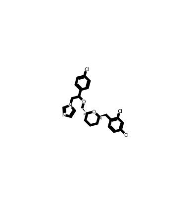 Clc1ccc(C(Cn2ccnc2)OC[C@H]2CCC[C@H](Cc3ccc(Cl)cc3Cl)O2)cc1